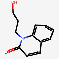 O=c1ccc2ccccc2n1CCCO